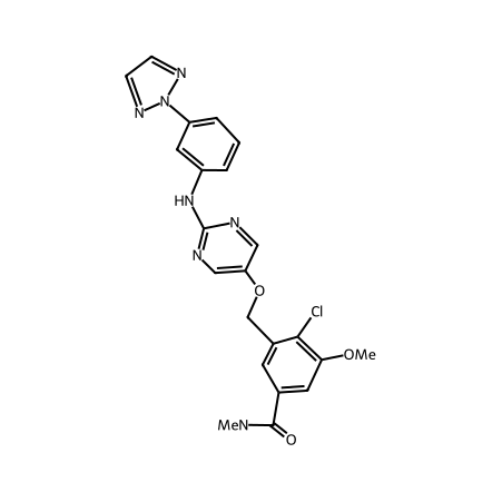 CNC(=O)c1cc(COc2cnc(Nc3cccc(-n4nccn4)c3)nc2)c(Cl)c(OC)c1